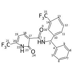 O=C(NC(c1ccccc1)c1cccc(C(F)(F)F)c1)c1ccc(C(F)(F)F)[nH]c1=O